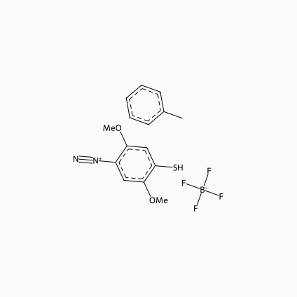 COc1cc([N+]#N)c(OC)cc1S.Cc1ccccc1.F[B-](F)(F)F